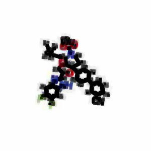 CC(C)(C)OC(=O)N1CCC(OC(COCC[Si](C)(C)C)c2nc3cc(F)c(F)cc3[nH]2)(c2ccc(-c3cccc(C#N)c3)cc2)CC1